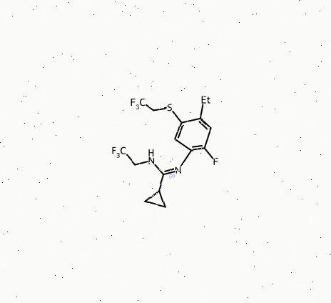 CCc1cc(F)c(/N=C(\NCC(F)(F)F)C2CC2)cc1SCC(F)(F)F